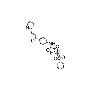 O=C(NNS(=O)(=O)c1ccccc1)C(=O)Nc1ccc(C(=O)/C=C/c2ccccn2)cc1